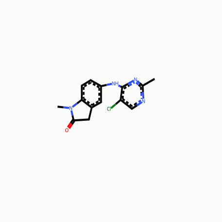 Cc1ncc(Cl)c(Nc2ccc3c(c2)CC(=O)N3C)n1